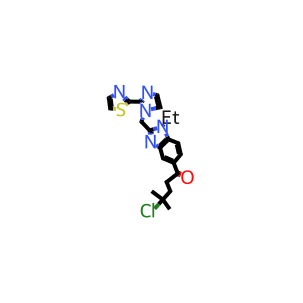 CCn1c(Cn2ccnc2-c2nccs2)nc2cc(C(=O)CCC(C)(C)Cl)ccc21